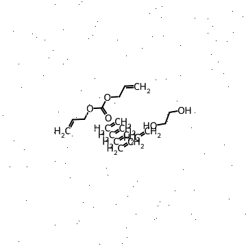 C=C.C=C.C=C.C=C.C=C.C=CCOC(=O)OCC=C.OCCO